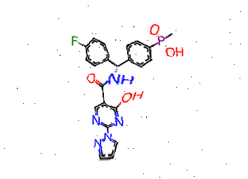 CP(=O)(O)c1ccc([C@H](NC(=O)c2cnc(-n3cccn3)nc2O)c2ccc(F)cc2)cc1